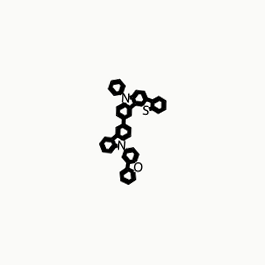 c1ccc(-n2c3ccc(-c4ccc5c(c4)c4ccccc4n5-c4ccc5oc6ccccc6c5c4)cc3c3c4sc5ccccc5c4ccc32)cc1